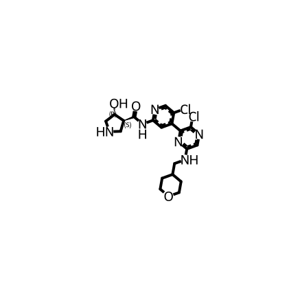 O=C(Nc1cc(-c2nc(NCC3CCOCC3)cnc2Cl)c(Cl)cn1)[C@H]1CNC[C@@H]1O